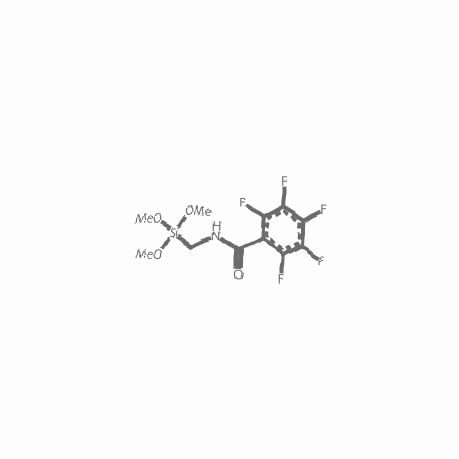 CO[Si](CNC(=O)c1c(F)c(F)c(F)c(F)c1F)(OC)OC